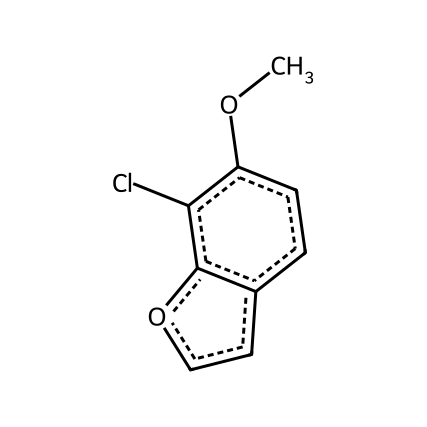 COc1ccc2ccoc2c1Cl